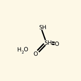 O.O=[SH](=O)S